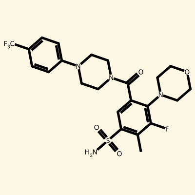 Cc1c(S(N)(=O)=O)cc(C(=O)N2CCN(c3ccc(C(F)(F)F)cc3)CC2)c(N2CCOCC2)c1F